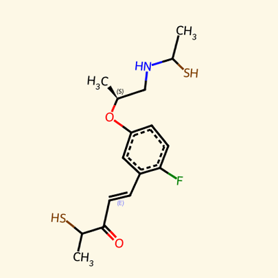 CC(S)NC[C@H](C)Oc1ccc(F)c(/C=C/C(=O)C(C)S)c1